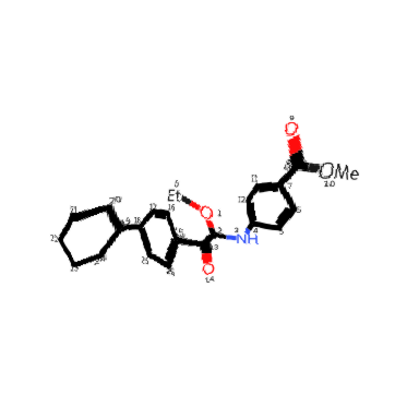 CCOC(Nc1ccc(C(=O)OC)cc1)C(=O)c1ccc(C2CCCCC2)cc1